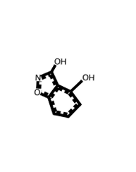 Oc1cccc2onc(O)c12